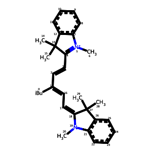 CCC(C)C(C=CC1=[N+](C)c2ccccc2C1(C)C)=CC=C1N(C)c2ccccc2C1(C)C